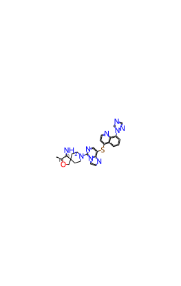 C[C@@H]1OCC2(CCN(c3ncc(Sc4ccnc5c(-n6cncn6)cccc45)c4nccn34)CC2)[C@@H]1N